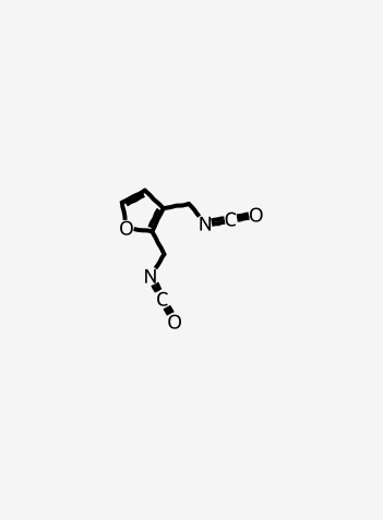 O=C=NCc1ccoc1CN=C=O